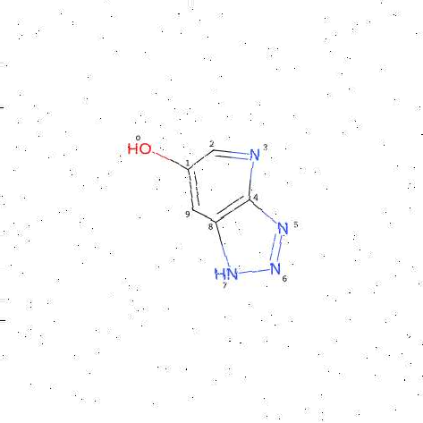 Oc1cnc2nn[nH]c2c1